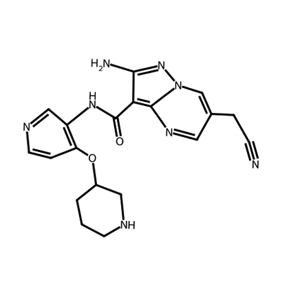 N#CCc1cnc2c(C(=O)Nc3cnccc3OC3CCCNC3)c(N)nn2c1